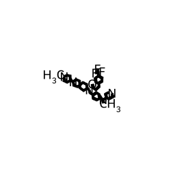 CN1CCC(N2CCC3(CCC(N(Cc4ccc(N(C)c5ccncc5)cc4)C(=O)C=Cc4ccc(C(F)(F)F)cc4)CC3)CC2)CC1